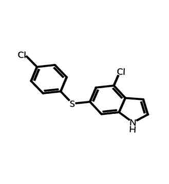 Clc1ccc(Sc2cc(Cl)c3cc[nH]c3c2)cc1